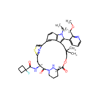 CCn1c(-c2cccnc2[C@H](C)OC)c2c3cc(ccc31)-c1csc(n1)C[C@H](NC(=O)C1(F)CCC1)C(=O)N1CCC[C@H](N1)C(=O)OCC(C)(C)C2